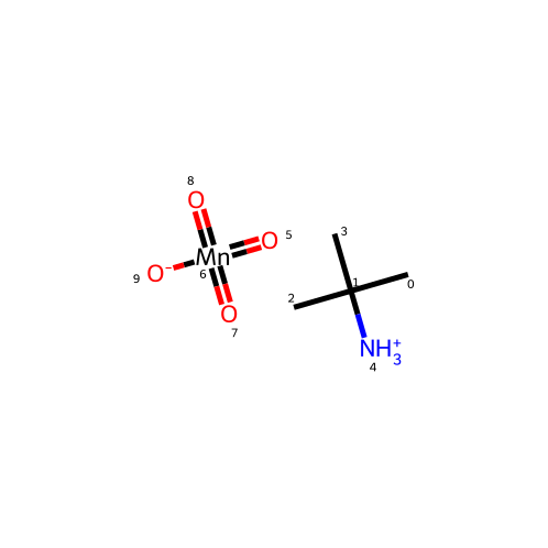 CC(C)(C)[NH3+].[O]=[Mn](=[O])(=[O])[O-]